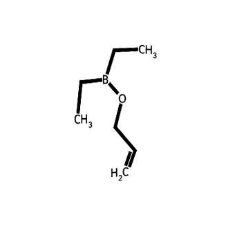 C=CCOB(CC)CC